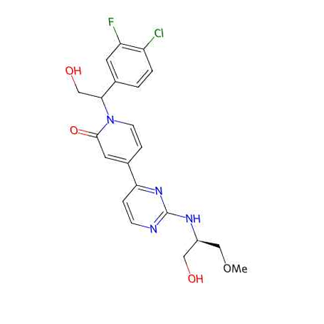 COC[C@@H](CO)Nc1nccc(-c2ccn(C(CO)c3ccc(Cl)c(F)c3)c(=O)c2)n1